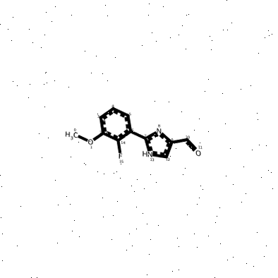 COc1cccc(-c2nc(C=O)c[nH]2)c1F